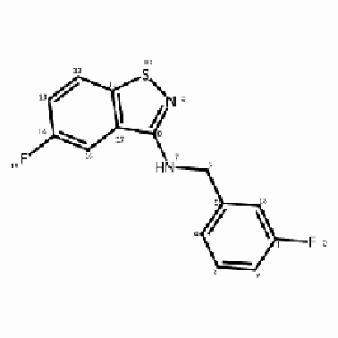 Fc1cccc(CNc2nsc3ccc(F)cc23)c1